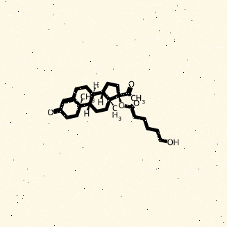 CC(=O)[C@@]1(OC(=O)CCCCCO)CC[C@H]2[C@@H]3CCC4=CC(=O)CC[C@]4(C)[C@H]3CC[C@@]21C